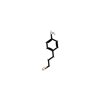 Cc1ccc(CCCBr)cc1